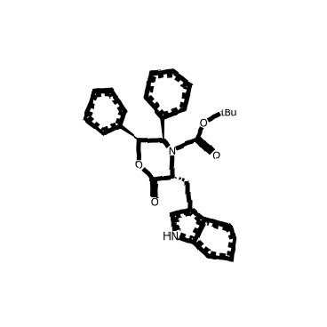 CC(C)(C)OC(=O)N1[C@H](Cc2c[nH]c3ccccc23)C(=O)O[C@@H](c2ccccc2)[C@H]1c1ccccc1